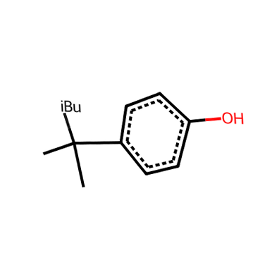 CCC(C)C(C)(C)c1ccc(O)cc1